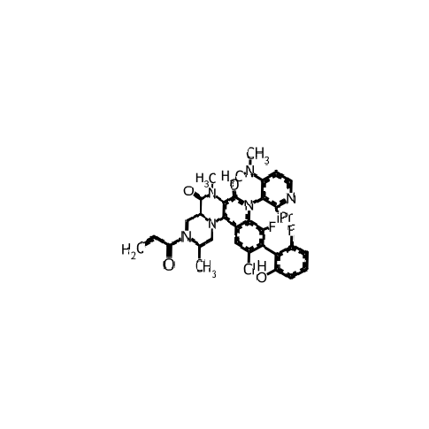 C=CC(=O)N1CC2C(=O)N(C)c3c(c4cc(Cl)c(-c5c(O)cccc5F)c(F)c4n(-c4c(N(C)C)ccnc4C(C)C)c3=O)N2CC1C